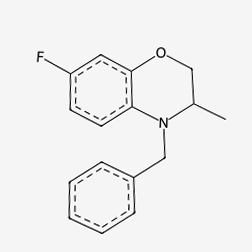 CC1COc2cc(F)ccc2N1Cc1ccccc1